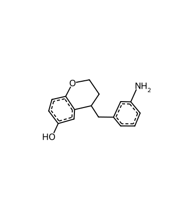 Nc1cccc(CC2CCOc3ccc(O)cc32)c1